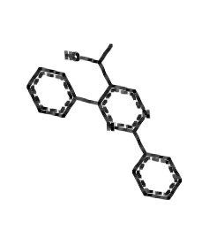 CC(O)c1cnc(-c2ccccc2)nc1-c1ccccc1